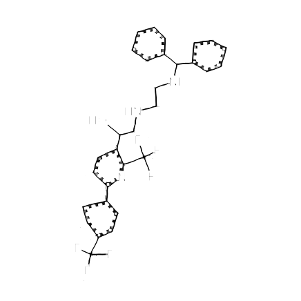 OC(CNCCNC(c1ccccc1)c1ccccc1)c1ccc(-c2ccc(C(F)(F)F)cc2)nc1C(F)(F)F